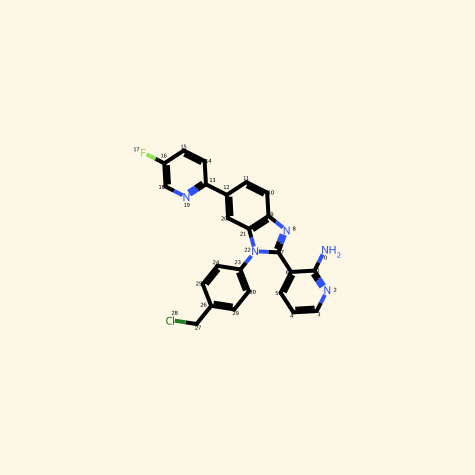 Nc1ncccc1-c1nc2ccc(-c3ccc(F)cn3)cc2n1-c1ccc(CCl)cc1